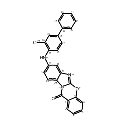 O=c1c2ccccc2oc2nc3cc(Nc4ccc(-c5ccccc5)cc4Cl)ccc3n12